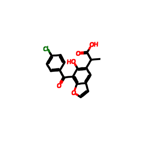 CC(C(=O)O)c1cc2ccoc2c(C(=O)c2ccc(Cl)cc2)c1O